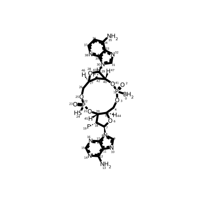 BP1(=O)OC[C@H]2O[C@@H](n3cnc4c(N)ncnc43)[C@H](F)[C@@H]2OP(=O)(S)OC[C@H]2O[C@@H](n3cnc4c(N)ccnc43)[C@H](O1)[C@@H]2F